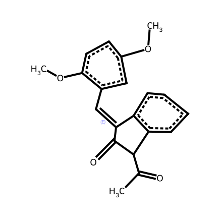 COc1ccc(OC)c(/C=C2/C(=O)C(C(C)=O)c3ccccc32)c1